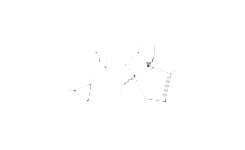 CN(C1CC1)[C@@H]1C[C@@H]2C=CC[C@H]12